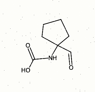 O=CC1(NC(=O)O)CCCC1